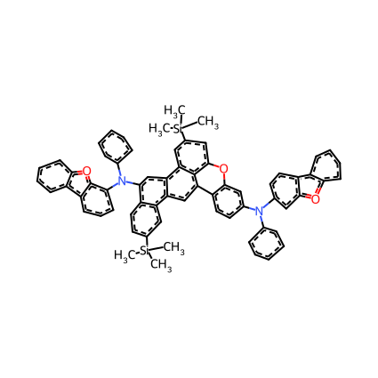 C[Si](C)(C)c1ccc2c(N(c3ccccc3)c3cccc4c3oc3ccccc34)cc3c4cc([Si](C)(C)C)cc5c4c(cc3c2c1)-c1ccc(N(c2ccccc2)c2ccc3c(c2)oc2ccccc23)cc1O5